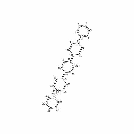 C1=CN(c2ccccc2)C=CC1=c1ccc(=C2C=CN(c3ccccc3)C=C2)cc1